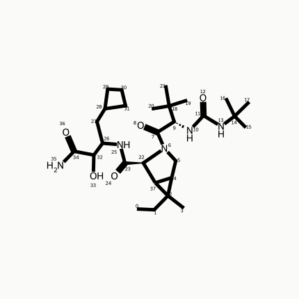 CCC1(C)C2CN(C(=O)[C@@H](NC(=O)NC(C)(C)C)C(C)(C)C)[C@H](C(=O)NC(CC3CCC3)C(O)C(N)=O)C21